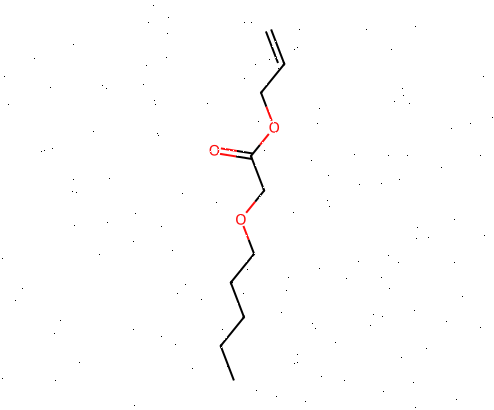 C=CCOC(=O)COCCCCC